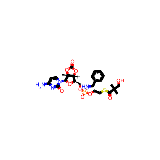 CC(C)(CO)C(=O)SCCOP(=O)(NCc1ccccc1)OC[C@H]1OC(n2ccc(N)nc2=O)[C@]2(C)OC(=O)O[C@H]12